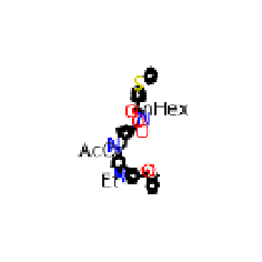 CCCCCC/C(=N/OC(=O)c1cccc(C/C(=N/OC(C)=O)c2ccc3c(c2)c2cc(C(=O)c4ccccc4C)ccc2n3CC)c1)C(=O)c1ccc(Sc2ccccc2)cc1